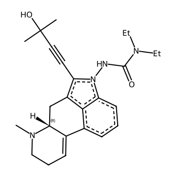 CCN(CC)C(=O)Nn1c(C#CC(C)(C)O)c2c3c(cccc31)C1=CCCN(C)[C@@H]1C2